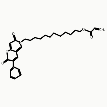 C=CC(=O)OCCCCCCCCCCCCn1cc2cc(-c3ccccc3)c(=O)oc2cc1=O